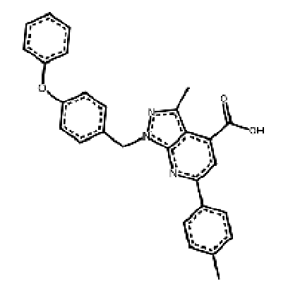 Cc1ccc(-c2cc(C(=O)O)c3c(C)nn(Cc4ccc(Oc5ccccc5)cc4)c3n2)cc1